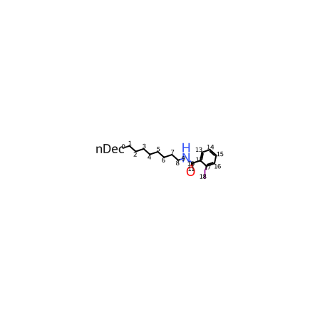 CCCCCCCCCCCCCCCCCCNC(=O)c1ccccc1I